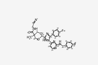 CC1(C(=O)NCC#N)COC(c2nc(-c3ccc(F)cc3)c(-c3ccnc(NCc4ccc(F)cc4)n3)[nH]2)OC1